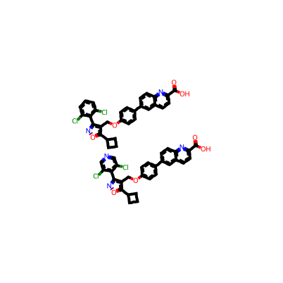 O=C(O)c1ccc2cc(-c3ccc(OCc4c(-c5c(Cl)cccc5Cl)noc4C4CCC4)cc3)ccc2n1.O=C(O)c1ccc2cc(-c3ccc(OCc4c(-c5c(Cl)cncc5Cl)noc4C4CCC4)cc3)ccc2n1